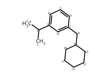 CC(C)c1cccc(CC2CCCCC2)c1